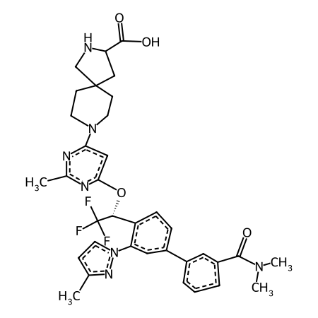 Cc1ccn(-c2cc(-c3cccc(C(=O)N(C)C)c3)ccc2[C@@H](Oc2cc(N3CCC4(CC3)CNC(C(=O)O)C4)nc(C)n2)C(F)(F)F)n1